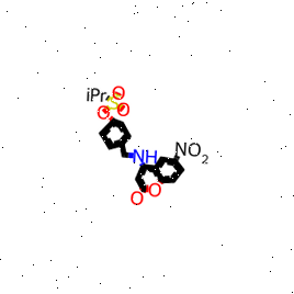 CC(C)S(=O)(=O)Oc1ccc(CNc2cc(=O)oc3ccc([N+](=O)[O-])cc23)cc1